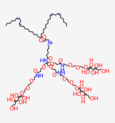 CCCCC/C=C\C/C=C\CCCCCCCCC1(CCCCCCCC/C=C\C/C=C\CCCCC)OC[C@H](CN(C)CCCCCC(=O)NC(COCCC(=O)NCCOCCOCCO[C@H](O)[C@H](O)C(O)[C@H](O)CCO)(COCCC(=O)NCCOCCOCCO[C@H](O)[C@H](O)C(O)[C@H](O)CCO)COCCC(=O)NCCOCCOCCO[C@H](O)[C@H](O)C(O)[C@H](O)CCO)O1